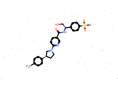 CCS(=O)(=O)c1ccc([C@H](CO)NC(=O)c2ccc(N3CC[C@@H](c4ccc(C(F)(F)F)cc4)C3)nc2)cc1